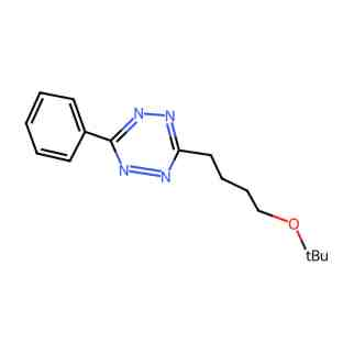 CC(C)(C)OCCCCc1nnc(-c2ccccc2)nn1